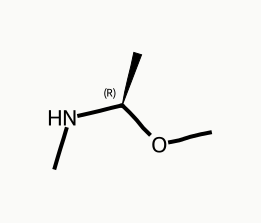 CN[C@@H](C)OC